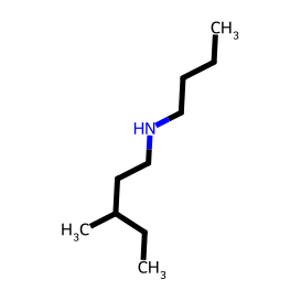 CCCCNCCC(C)CC